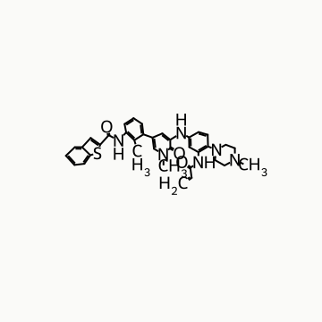 C=CC(=O)Nc1cc(Nc2cc(-c3cccc(NC(=O)c4cc5ccccc5s4)c3C)cn(C)c2=O)ccc1N1CCN(C)CC1